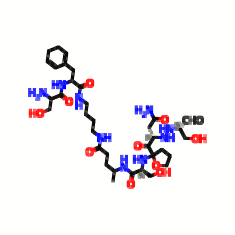 CC(CCC(=O)NCCCCNC(=O)C(CC1=CCCC=C1)NC(=O)C(N)CO)NC(=O)[C@H](CO)NC1(C(=O)[C@H](CC(N)=O)NN[C@H](C=O)CO)CCCO1